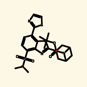 CN(C)S(=O)(=O)c1ccc(-c2nccs2)c2oc(N3CC4CC(C3)N4C(=O)OC(C)(C)C)nc12